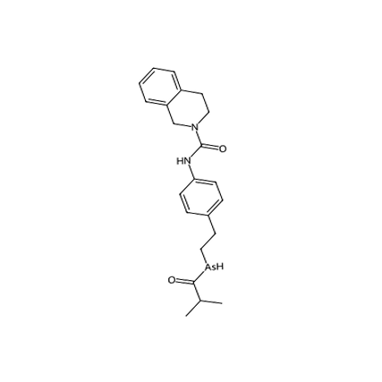 CC(C)C(=O)[AsH]CCc1ccc(NC(=O)N2CCc3ccccc3C2)cc1